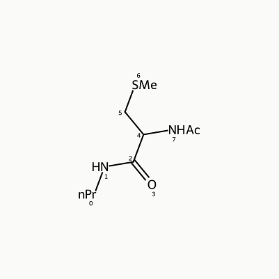 CCCNC(=O)C(CSC)NC(C)=O